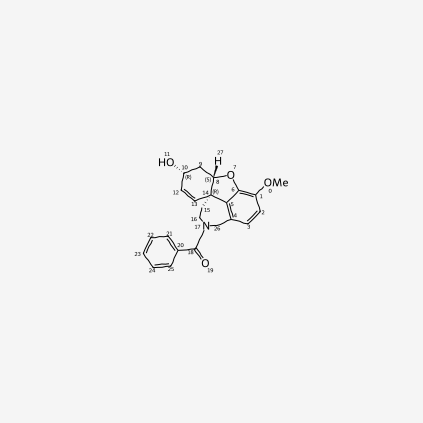 COc1ccc2c3c1O[C@H]1C[C@@H](O)C=C[C@]31CCN(C(=O)c1ccccc1)C2